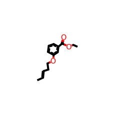 CC=CCCOc1cccc(C(=O)OCC)c1